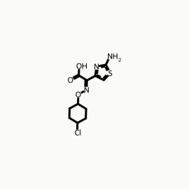 Nc1nc(/C(=N/OC2CCC(Cl)CC2)C(=O)O)cs1